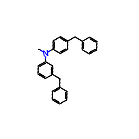 CN(c1ccc(Cc2ccccc2)cc1)c1cccc(Cc2ccccc2)c1